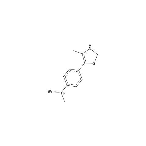 CC1=C(c2ccc([C@H](C)C(C)C)cc2)SCN1